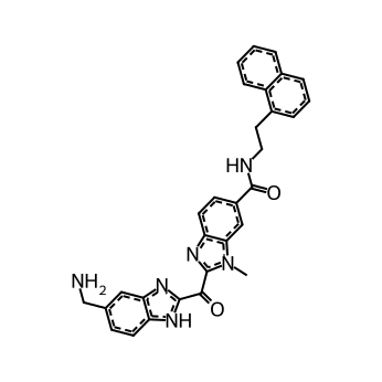 Cn1c(C(=O)c2nc3cc(CN)ccc3[nH]2)nc2ccc(C(=O)NCCc3cccc4ccccc34)cc21